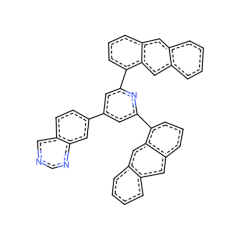 c1ccc2cc3c(-c4cc(-c5ccc6cncnc6c5)cc(-c5cccc6cc7ccccc7cc56)n4)cccc3cc2c1